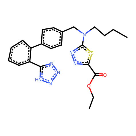 CCCCN(Cc1ccc(-c2ccccc2-c2nnn[nH]2)cc1)c1nnc(C(=O)OCC)s1